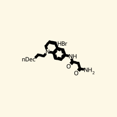 Br.CCCCCCCCCCCCN1CC=Cc2cc(NC(=O)CC(N)=O)ccc21